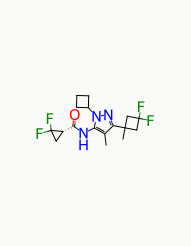 Cc1c(C2(C)CC(F)(F)C2)nn(C2CCC2)c1NC(=O)[C@@H]1CC1(F)F